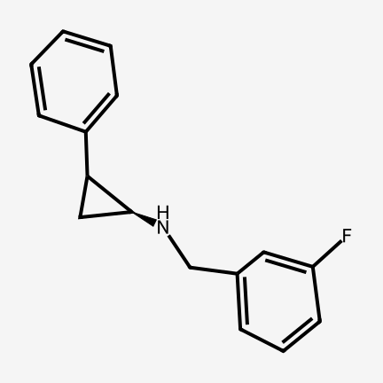 Fc1cccc(CN[C@H]2CC2c2ccccc2)c1